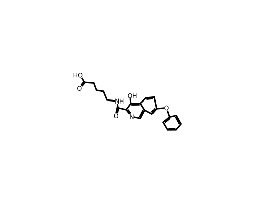 O=C(O)CCCCNC(=O)c1ncc2cc(Oc3ccccc3)ccc2c1O